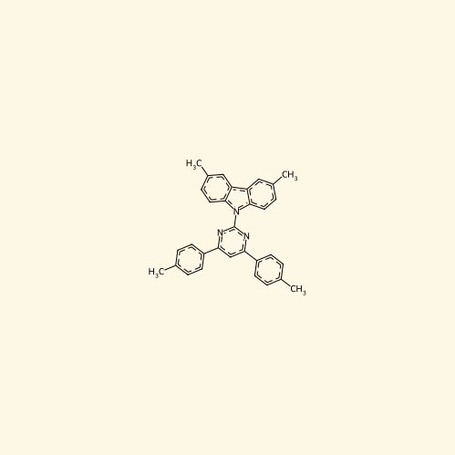 Cc1ccc(-c2cc(-c3ccc(C)cc3)nc(-n3c4ccc(C)cc4c4cc(C)ccc43)n2)cc1